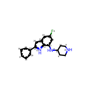 Fc1cc(NC2CCNCC2)c2[nH]c(-c3ccccc3)cc2c1